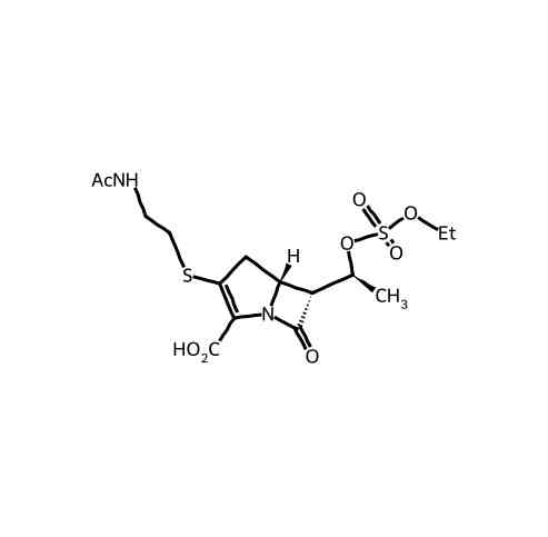 CCOS(=O)(=O)O[C@@H](C)[C@@H]1C(=O)N2C(C(=O)O)=C(SCCNC(C)=O)C[C@H]12